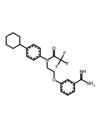 N=C(N)c1cccc(OCCN(C(=O)C(F)(F)F)c2ccc(C3CCCCC3)cc2)c1